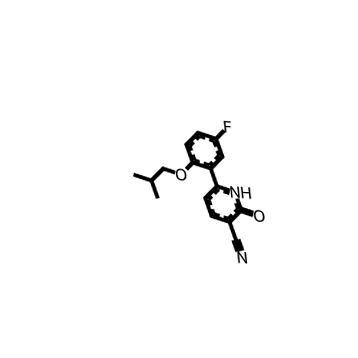 CC(C)COc1ccc(F)cc1-c1ccc(C#N)c(=O)[nH]1